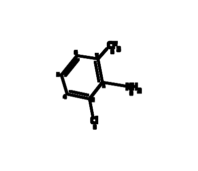 Nc1c(Cl)cccc1C(F)(F)F